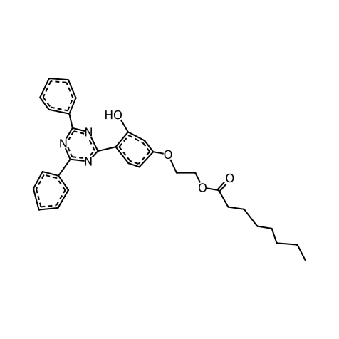 CCCCCCCC(=O)OCCOc1ccc(-c2nc(-c3ccccc3)nc(-c3ccccc3)n2)c(O)c1